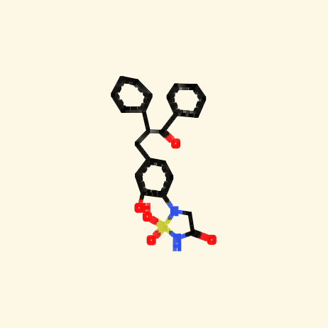 O=C1CN(c2ccc(CC(C(=O)c3ccccc3)c3ccccc3)cc2O)S(=O)(=O)N1